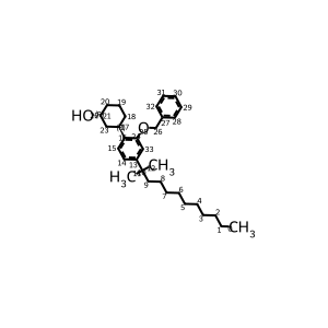 CCCCCCCCCCC(C)(C)c1ccc([C@@H]2CCC[C@@H](O)C2)c(OCc2ccccc2)c1